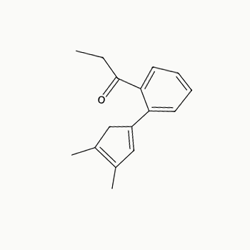 CCC(=O)c1ccccc1C1=CC(C)=C(C)C1